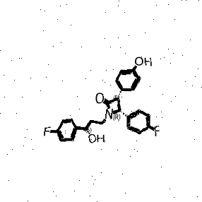 O=C1[C@H](c2ccc(O)cc2)[C@H](c2ccc(F)cc2)N1CC[C@H](O)c1ccc(F)cc1